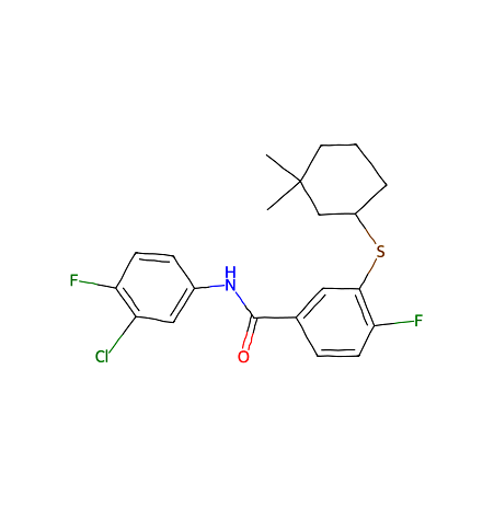 CC1(C)CCCC(Sc2cc(C(=O)Nc3ccc(F)c(Cl)c3)ccc2F)C1